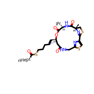 CCCCCCCC(=O)SCCC/C=C/[C@@H]1CC(=O)NCc2nc(cs2)C2=N[C@@](C)(CS2)C(=O)N[C@@H](C(C)C)C(=O)O1